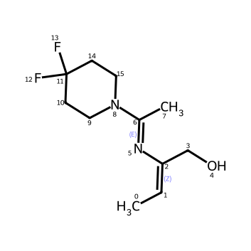 C/C=C(CO)\N=C(/C)N1CCC(F)(F)CC1